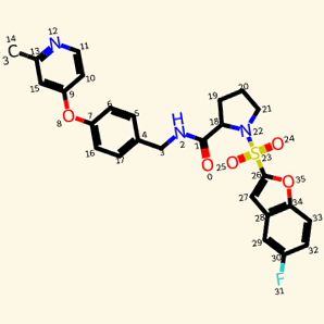 O=C(NCc1ccc(Oc2ccnc(C(F)(F)F)c2)cc1)C1CCCN1S(=O)(=O)c1cc2cc(F)ccc2o1